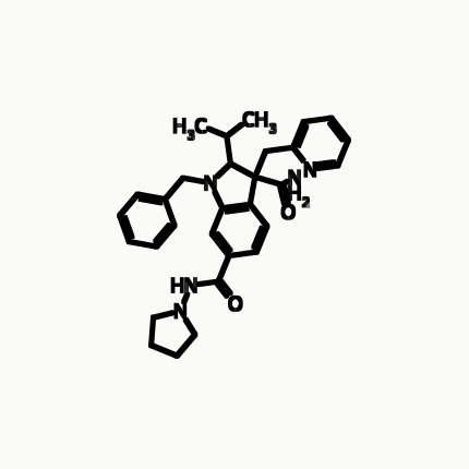 CC(C)C1N(Cc2ccccc2)c2cc(C(=O)NN3CCCC3)ccc2C1(Cc1ccccn1)C(N)=O